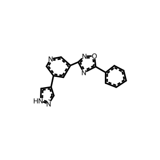 c1ccc(-c2nc(-c3cncc(-c4cn[nH]c4)c3)no2)cc1